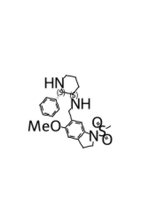 COc1cc2c(cc1CN[C@H]1CCCN[C@H]1c1ccccc1)N(S(C)(=O)=O)CC2